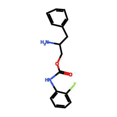 NC(COC(=O)Nc1ccccc1F)Cc1ccccc1